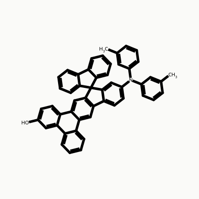 Cc1cccc(N(c2cccc(C)c2)c2ccc3c(c2)C2(c4ccccc4-c4ccccc42)c2cc4c5ccc(O)cc5c5ccccc5c4cc2-3)c1